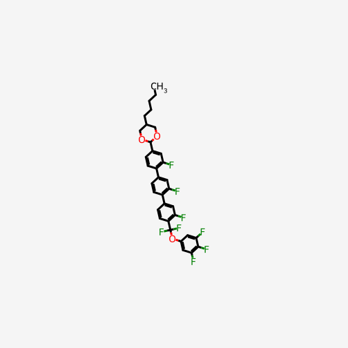 CCCCCC1COC(c2ccc(-c3ccc(-c4ccc(C(F)(F)Oc5cc(F)c(F)c(F)c5)c(F)c4)c(F)c3)c(F)c2)OC1